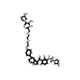 CC(C)(C)C(NC(=O)COCCOCCOc1ccc(-c2cnc3[nH]cc(C(=O)c4c(F)ccc(NS(=O)(=O)N5CC[C@@H](F)C5)c4F)c3c2)cc1)C(=O)N1CC[C@H](O)C1